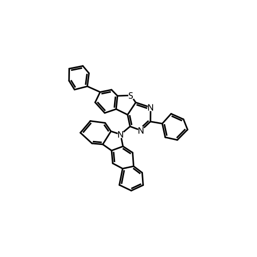 c1ccc(-c2ccc3c(c2)sc2nc(-c4ccccc4)nc(-n4c5ccccc5c5cc6ccccc6cc54)c23)cc1